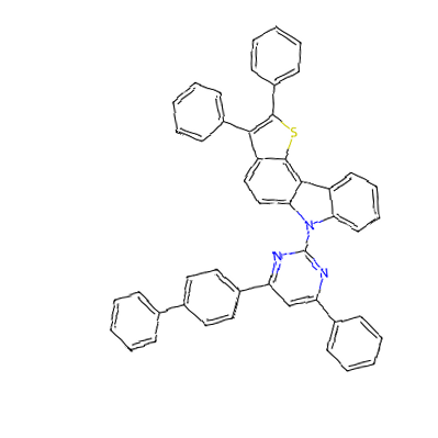 c1ccc(-c2ccc(-c3cc(-c4ccccc4)nc(-n4c5ccccc5c5c6sc(-c7ccccc7)c(-c7ccccc7)c6ccc54)n3)cc2)cc1